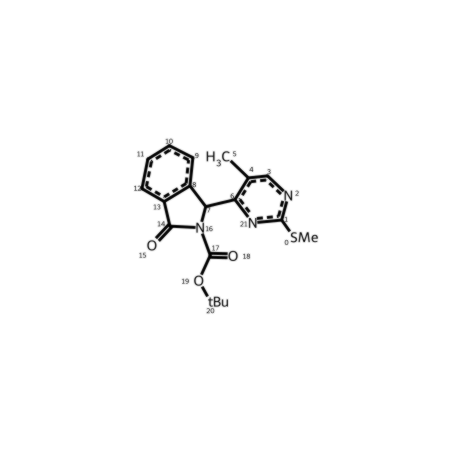 CSc1ncc(C)c(C2c3ccccc3C(=O)N2C(=O)OC(C)(C)C)n1